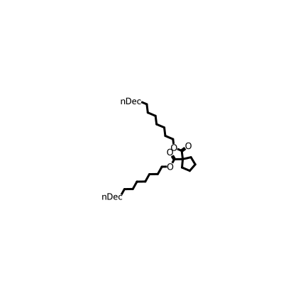 CCCCCCCCCCCCCCCCCOC(=O)C1(C(=O)OCCCCCCCCCCCCCCCCC)CCCC1